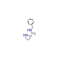 S=C(NCc1ccccc1)[C@@H]1CCCN1